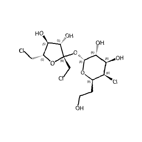 OCC[C@H]1O[C@H](O[C@]2(CCl)O[C@H](CCl)[C@@H](O)[C@@H]2O)[C@H](O)[C@@H](O)[C@H]1Cl